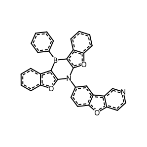 c1ccc(B2c3c(oc4ccccc34)N(c3ccc4oc5ccncc5c4c3)c3oc4ccccc4c32)cc1